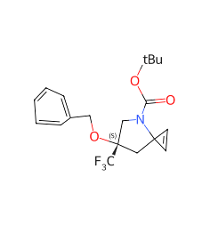 CC(C)(C)OC(=O)N1C[C@](OCc2ccccc2)(C(F)(F)F)CC12C=C2